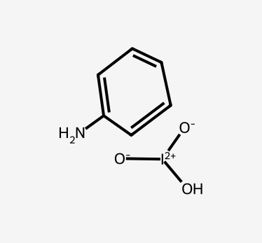 Nc1ccccc1.[O-][I+2]([O-])O